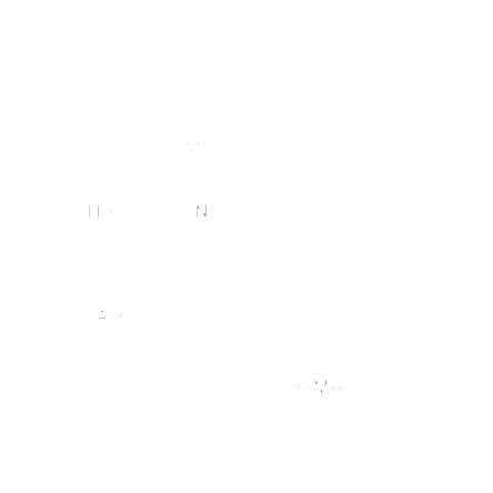 COc1cc2c(OC(C)=O)c(C)n(C(=O)c3ccc(F)cc3)c2cc1F